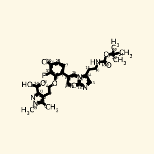 Cc1c(CCOc2c(-c3ccc4ncc(CCNC(=O)OC(C)(C)C)n4c3)ccc(Cl)c2F)c(C(=O)O)nn1C